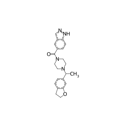 CC(c1ccc2c(c1)OCC2)N1CCN(C(=O)c2ccc3[nH]ncc3c2)CC1